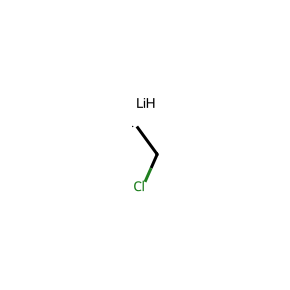 [CH2]CCl.[LiH]